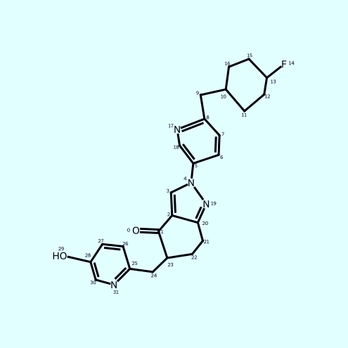 O=C1c2cn(-c3ccc(CC4CCC(F)CC4)nc3)nc2CCC1Cc1ccc(O)cn1